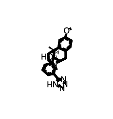 COc1ccc2c(c1)[C@@]1(C)CCN(C)C(C2)[C@]1(O)c1cccc(-c2nnn[nH]2)c1